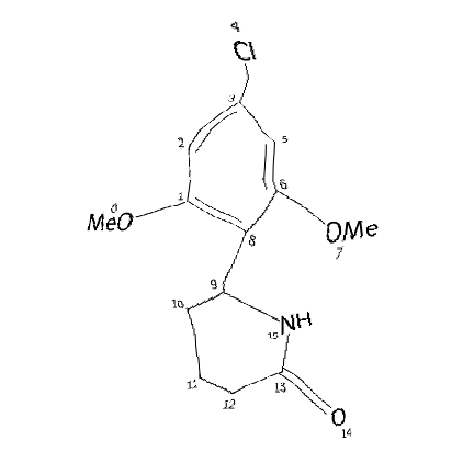 COc1cc(Cl)cc(OC)c1C1CCCC(=O)N1